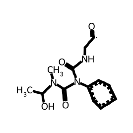 CC(O)N(C)C(=O)N(C(=O)NC[C]=O)c1ccccc1